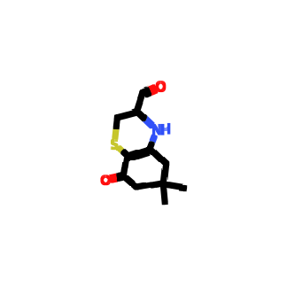 CC1(C)CC(=O)C2=C(C1)NC(C=O)CS2